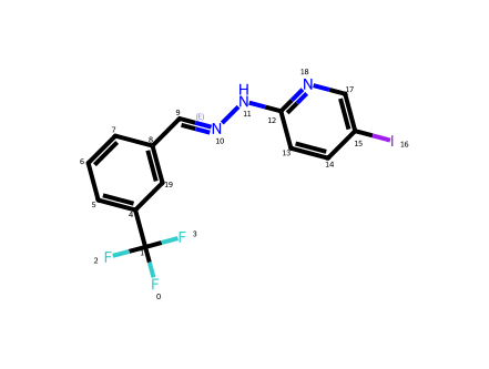 FC(F)(F)c1cccc(/C=N/Nc2ccc(I)cn2)c1